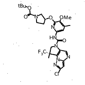 COc1c(C)cc(NC(=O)N2C[C@@](C)(C(F)(F)F)c3c2cnc2cc(Cl)nn32)nc1O[C@H]1CCN(C(=O)OC(C)(C)C)C1